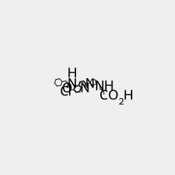 O=C(O)CCN[C@H]1CCN(c2ccc3c(NC(=O)CC4CCCCC4)c(Cl)ccc3n2)C1